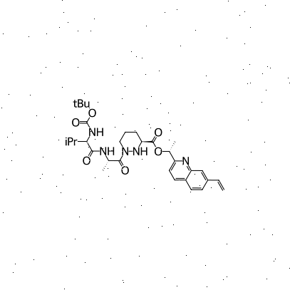 C=Cc1ccc2ccc([C@@H](C)OC(=O)[C@@H]3CCCN(C(=O)[C@H](C)NC(=O)C(NC(=O)OC(C)(C)C)C(C)C)N3)nc2c1